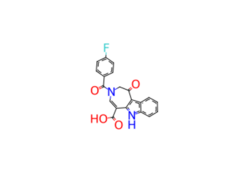 O=C(O)C1=CN(C(=O)c2ccc(F)cc2)CC(=O)c2c1[nH]c1ccccc21